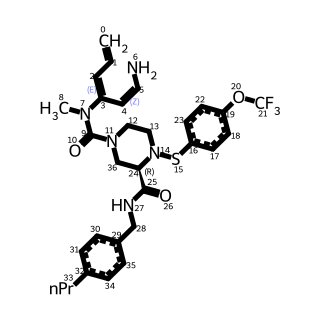 C=C/C=C(\C=C/N)N(C)C(=O)N1CCN(Sc2ccc(OC(F)(F)F)cc2)[C@@H](C(=O)NCc2ccc(CCC)cc2)C1